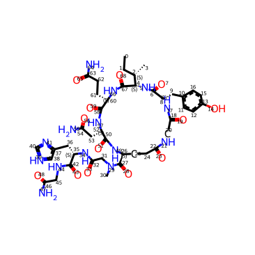 CC[C@H](C)[C@@H]1NC(=O)[C@H](Cc2ccc(O)cc2)NC(=O)CNC(=O)CC[C@@H](C(=O)N(C)CC(=O)N[C@@H](Cc2c[nH]cn2)C(=O)NCC(N)=O)NC(=O)[C@H](CC(N)=O)NC(=O)[C@H](CCC(N)=O)NC1=O